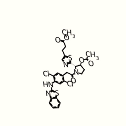 COC(=O)CCc1cnc([C@@H]2[C@@H](OC(C)=O)CCN2C(=O)Cc2cc(Cl)c(Nc3nc4ccccc4s3)cc2Cl)s1